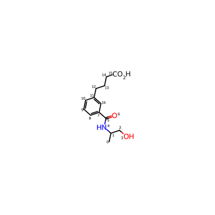 CC(CO)NC(=O)c1cccc(CCCC(=O)O)c1